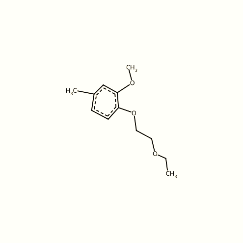 CCOCCOc1ccc(C)cc1OC